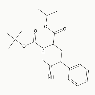 CC(=N)C(CC(NC(=O)OC(C)(C)C)C(=O)OC(C)C)c1ccccc1